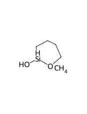 C.O[SiH]1CCCCO1